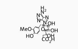 COc1cc(C[C@@]2(n3cnc4c(N)ncnc43)O[C@H](C(O)CC(=O)O)[C@@H](O)[C@H]2O)ccc1O